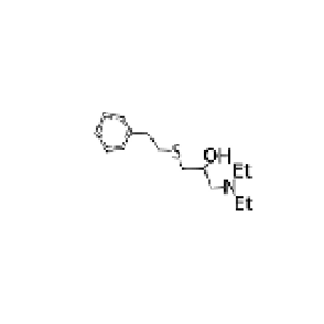 CCN(CC)CC(O)CSCCc1ccccc1